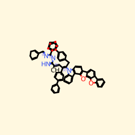 C/C(=C\C(=C(/Cc1ccc(-c2ccccc2)cc1)n1c2ccccc2c2c3oc4c(ccc5c6ccccc6oc54)c3ccc21)c1ccc(-c2ccccc2)cc1)C(=N)/N=C(\N=C\C1=CCCC=C1)c1ccccc1